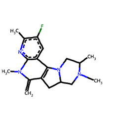 C=C1C2=C(c3cc(F)c(C)nc3N1C)N1CC(C)N(C)CC1C2